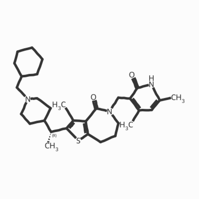 Cc1cc(C)c(CN2CCCc3sc([C@H](C)C4CCN(CC5CCCCC5)CC4)c(C)c3C2=O)c(=O)[nH]1